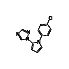 Clc1ccc(-n2cccc2-n2cncn2)cc1